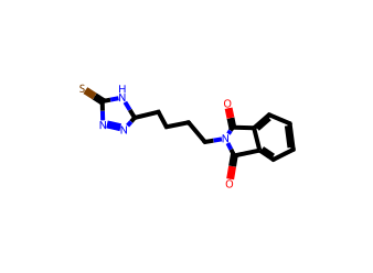 O=C1c2ccccc2C(=O)N1CCCCC1N=NC(=S)N1